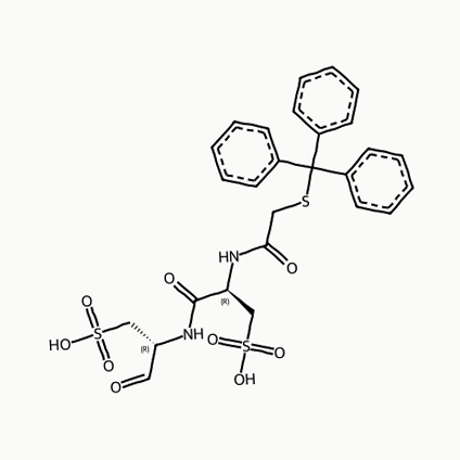 O=C[C@H](CS(=O)(=O)O)NC(=O)[C@H](CS(=O)(=O)O)NC(=O)CSC(c1ccccc1)(c1ccccc1)c1ccccc1